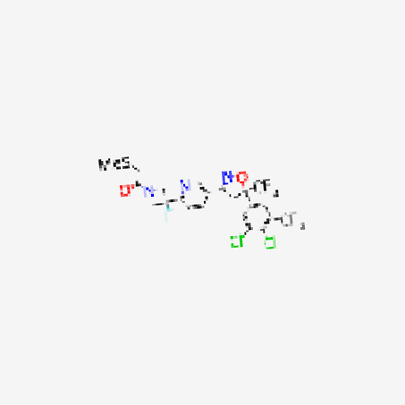 CSCC(=O)N1CC(F)(c2ccc(C3=NOC(c4cc(Cl)c(Cl)c(C(F)(F)F)c4)(C(F)(F)F)C3)cn2)C1